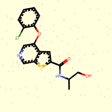 CC(CO)NC(=O)c1cc2c(Oc3ccccc3Cl)cncc2s1